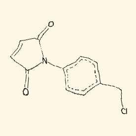 O=C1C=CC(=O)N1c1ccc(CCl)cc1